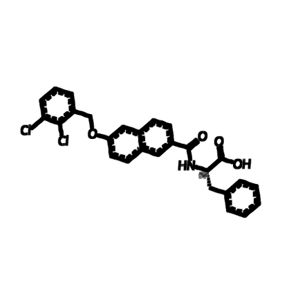 O=C(N[C@@H](Cc1ccccc1)C(=O)O)c1ccc2cc(OCc3cccc(Cl)c3Cl)ccc2c1